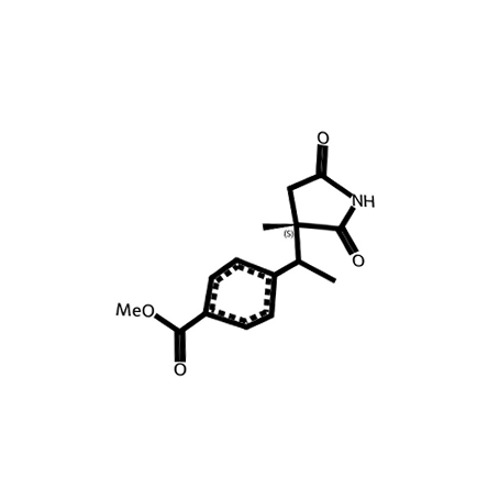 COC(=O)c1ccc(C(C)[C@]2(C)CC(=O)NC2=O)cc1